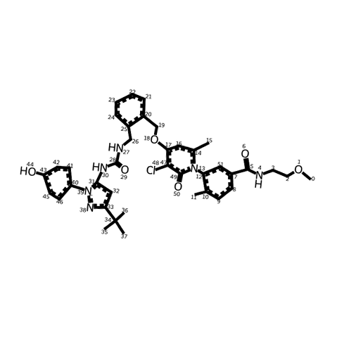 COCCNC(=O)c1ccc(C)c(-n2c(C)cc(OCc3ccccc3CNC(=O)Nc3cc(C(C)(C)C)nn3-c3ccc(O)cc3)c(Cl)c2=O)c1